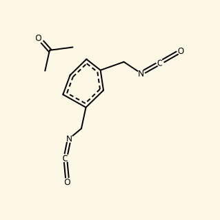 CC(C)=O.O=C=NCc1cccc(CN=C=O)c1